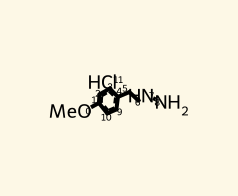 COc1ccc(CCNN)cc1.Cl